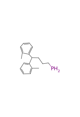 Cc1ccccc1C(CCCP)c1ccccc1C